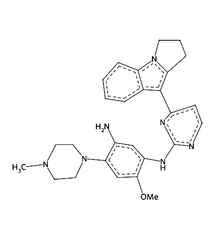 COc1cc(N2CCN(C)CC2)c(N)cc1Nc1nccc(-c2c3n(c4ccccc24)CCC3)n1